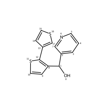 OC(c1cccnc1)c1ccsc1-c1ccsc1